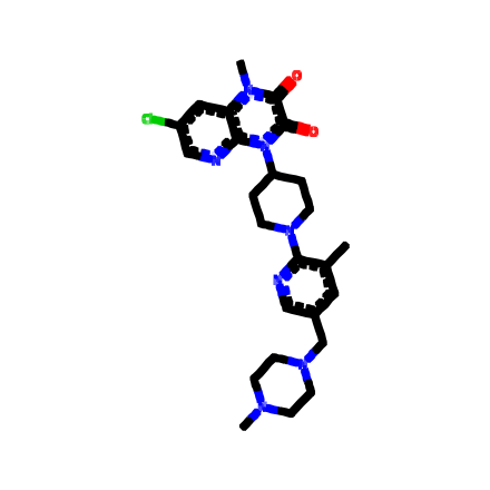 Cc1cc(CN2CCN(C)CC2)cnc1N1CCC(n2c(=O)c(=O)n(C)c3cc(Cl)cnc32)CC1